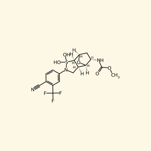 COC(=O)N[C@H]1C[C@H]2O[C@@H]1[C@H]1CN(c3ccc(C#N)c(C(F)(F)F)c3)S(O)(O)[C@H]12